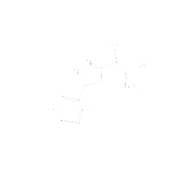 CC[C@H](N)C(O)c1nnc(-c2ccccc2)o1